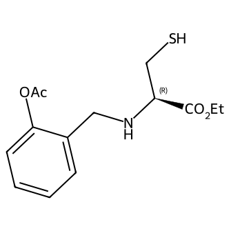 CCOC(=O)[C@H](CS)NCc1ccccc1OC(C)=O